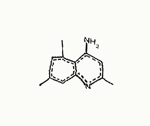 Cc1cc(C)c2c(N)cc(C)nc2c1